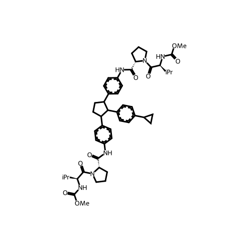 COC(=O)N[C@H](C(=O)N1CCC[C@H]1C(=O)Nc1ccc(C2CCC(c3ccc(NC(=O)[C@@H]4CCCN4C(=O)[C@@H](NC(=O)OC)C(C)C)cc3)C2c2ccc(C3CC3)cc2)cc1)C(C)C